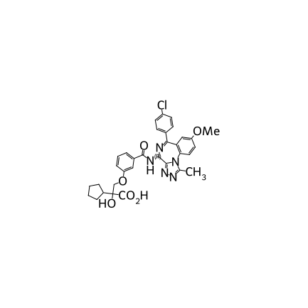 COc1ccc2c(c1)C(c1ccc(Cl)cc1)=N[C@@H](NC(=O)c1cccc(OCC(O)(C(=O)O)C3CCCC3)c1)c1nnc(C)n1-2